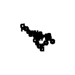 O=C(COc1ccc(Cl)c(F)c1)NC12CCC(NC(=O)COc3ccc(Cl)c(F)c3)(CC1)[C@@H](OC(=O)OCCOP(=O)(OCc1ccccc1)OCc1ccccc1)C2